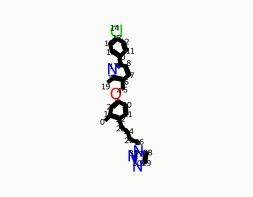 Cc1cc(OCc2ccc(-c3ccc(Cl)cc3)nc2C)ccc1CCCCn1ccnn1